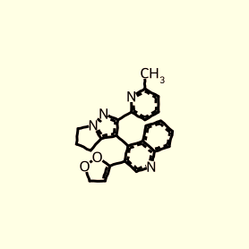 Cc1cccc(-c2nn3c(c2-c2c(C4=CCOO4)cnc4ccccc24)CCC3)n1